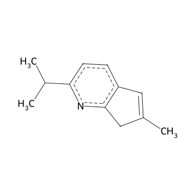 CC1=Cc2ccc(C(C)C)nc2C1